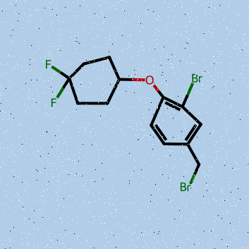 FC1(F)CCC(Oc2ccc(CBr)cc2Br)CC1